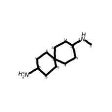 CNC1CCC2(CCC(N)CC2)CC1